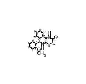 COc1ccccc1CN[C@@H]1CCC(=O)N[C@@H]1c1ccccc1